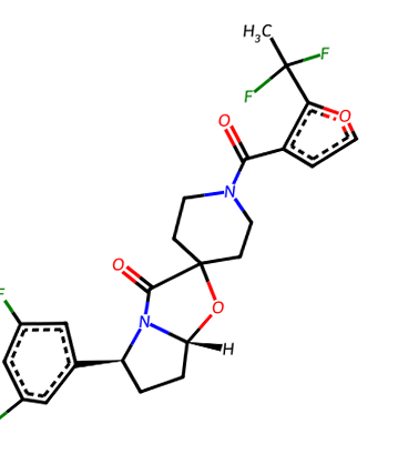 CC(F)(F)c1occc1C(=O)N1CCC2(CC1)O[C@@H]1CC[C@@H](c3cc(F)cc(F)c3)N1C2=O